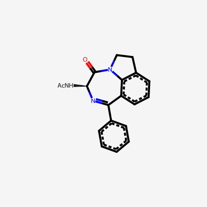 CC(=O)N[C@@H]1N=C(c2ccccc2)c2cccc3c2N(CC3)C1=O